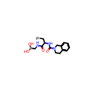 CC(C)CC(NC(=O)N1CCc2ccccc2C1)C(=O)NCB(O)O